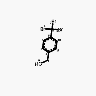 OCc1ccc(C(Br)(Br)Br)cc1